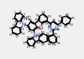 N#Cc1c(-n2c3ccccc3c3ccccc32)cc(-n2c3ccccc3c3ccccc32)c2oc3c(-c4cc(-c5ccccc5)nc(-c5ccccc5)n4)cccc3c12